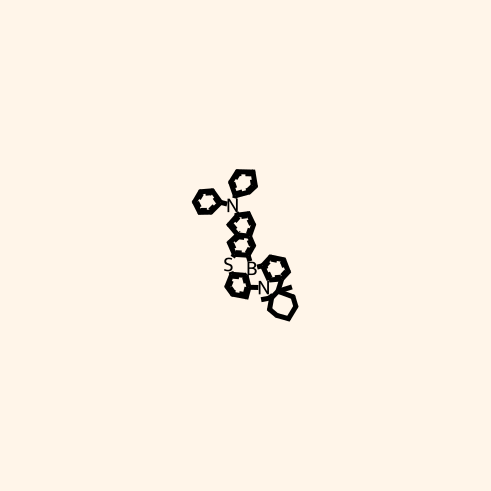 CC12CCCCCC1(C)N1c3cccc4c3B(c3cc5ccc(N(c6ccccc6)c6ccccc6)cc5cc3S4)c3cccc2c31